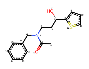 CC(=O)N(CC[C@H](O)c1cccs1)Cc1ccccc1